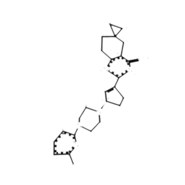 Cc1cccc(N2CCN([C@H]3C=C(c4nc5c(c(=O)[nH]4)CC4(CC5)CC4)CC3)CC2)n1